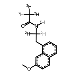 [2H]N(C(=O)C([2H])([2H])[2H])C([2H])([2H])Cc1cccc2ccc(OC)cc12